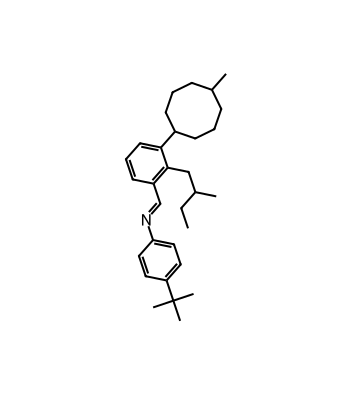 CCC(C)Cc1c(/C=N/c2ccc(C(C)(C)C)cc2)cccc1C1CCCC(C)CCC1